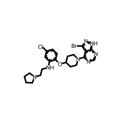 Clc1ccc(OC2CCN(c3ncnc4[nH]nc(Br)c34)CC2)c(NCCN2CCCC2)c1